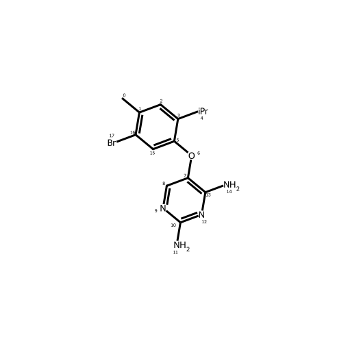 Cc1cc(C(C)C)c(Oc2cnc(N)nc2N)cc1Br